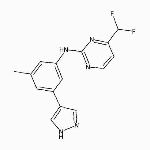 Cc1cc(Nc2nccc(C(F)F)n2)cc(-c2cn[nH]c2)c1